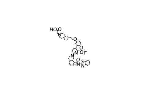 Cc1c(OCCC2CCC3(CCN(CC(=O)O)CC3)C2)cccc1-c1ccc(N2CCc3cccc(C(=O)Nc4nc5ccccc5s4)c3C2)nc1C(=O)OC(C)(C)C